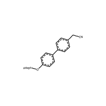 CCCCCCCOc1ccc(-c2ccc(CC#N)cc2)cc1